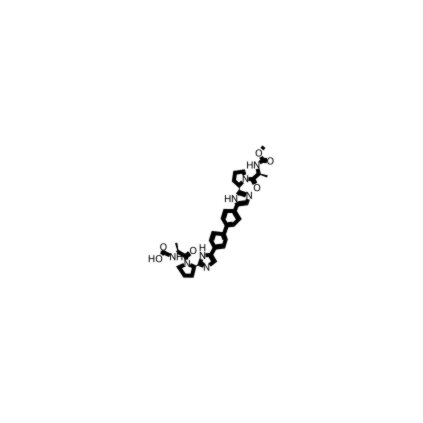 COC(=O)N[C@@H](C)C(=O)N1CCC[C@H]1c1ncc(-c2ccc(-c3ccc(-c4cnc([C@@H]5CCCN5C(=O)[C@H](C)NC(=O)O)[nH]4)cc3)cc2)[nH]1